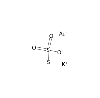 O=S(=O)([O-])[S-].[Au+].[K+]